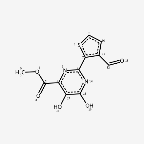 COC(=O)c1nc(-c2sccc2C=O)nc(O)c1O